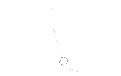 O=C(O)OCCCCCCCCCCCc1ccc([N+](=O)[O-])cc1